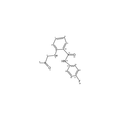 CC(=O)C[Se]c1ccccc1C(=O)Nc1ccc(F)cc1